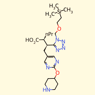 CCC[C@H](C(=O)O)[C@H](Cc1cnc(OC2CCNCC2)nc1)c1nnnn1COCC[Si](C)(C)C